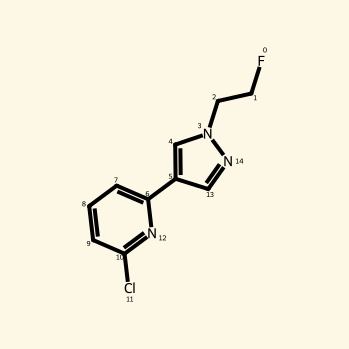 FCCn1cc(-c2cccc(Cl)n2)cn1